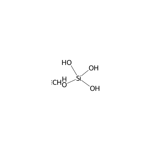 O[Si](O)(O)O.[CH]